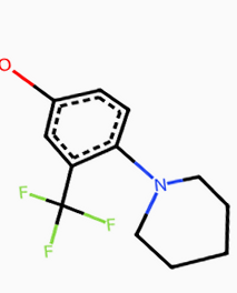 Oc1ccc(N2CCCCC2)c(C(F)(F)F)c1